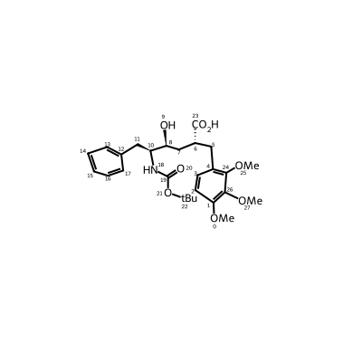 COc1ccc(C[C@H](C[C@H](O)[C@H](Cc2ccccc2)NC(=O)OC(C)(C)C)C(=O)O)c(OC)c1OC